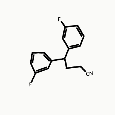 N#CC[CH]C(c1cccc(F)c1)c1cccc(F)c1